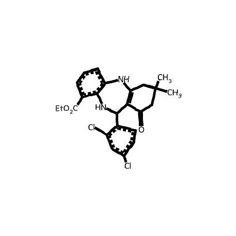 CCOC(=O)c1cccc2c1NC(c1ccc(Cl)cc1Cl)C1=C(CC(C)(C)CC1=O)N2